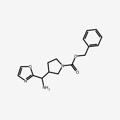 NC(c1ncco1)C1CCN(C(=O)OCc2ccccc2)C1